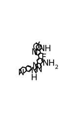 Cc1c(-c2cc3nc(Nc4ccc5c(c4)CN(C)CC5)ncc3c(N)c2F)cnc2c1NCC(C)(C)O2